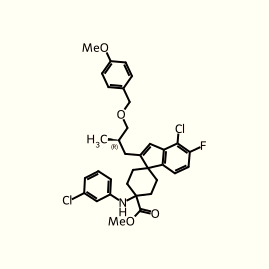 COC(=O)C1(Nc2cccc(Cl)c2)CCC2(CC1)C(C[C@@H](C)COCc1ccc(OC)cc1)=Cc1c2ccc(F)c1Cl